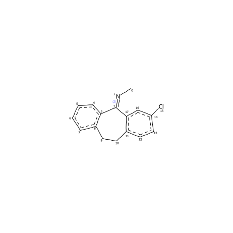 C/N=C1/c2ccccc2CCc2ccc(Cl)cc21